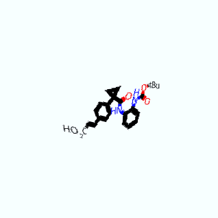 CC(C)(C)OC(=O)Nc1ccccc1NC(=O)C1(c2ccc(/C=C/C(=O)O)cc2)CC1